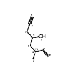 C#CCC(O)C[C@H](C)C=C